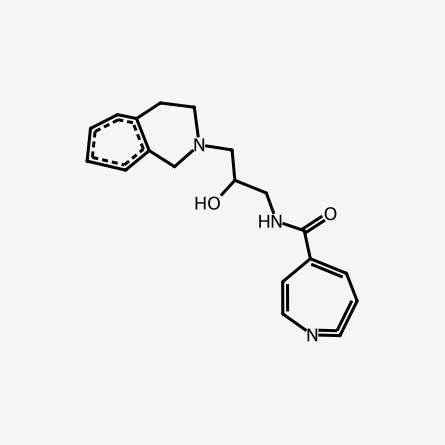 O=C(NCC(O)CN1CCc2ccccc2C1)C1=CC=C=NC=C1